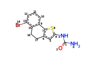 NC(=O)Nc1cc2c(s1)-c1cccc(Br)c1CC2